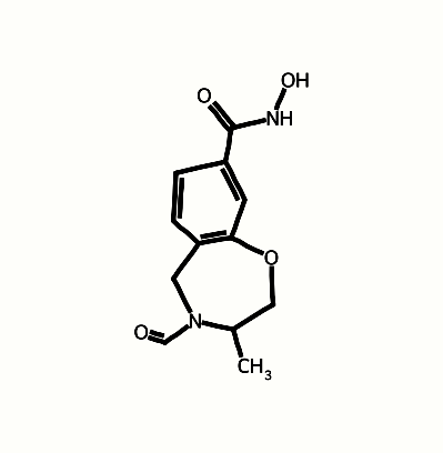 CC1COc2cc(C(=O)NO)ccc2CN1C=O